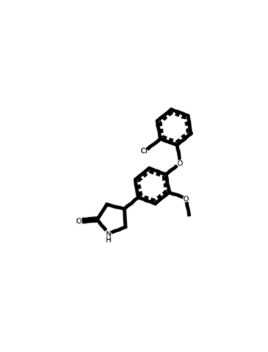 COc1cc(C2CNC(=O)C2)ccc1Oc1ccccc1Cl